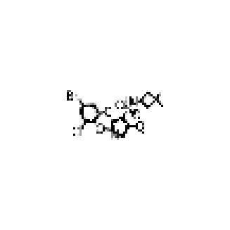 COc1cnc(Oc2c(Cl)cc(Br)cc2Cl)cc1S(=O)(=O)NC1CC(C)(C)C1